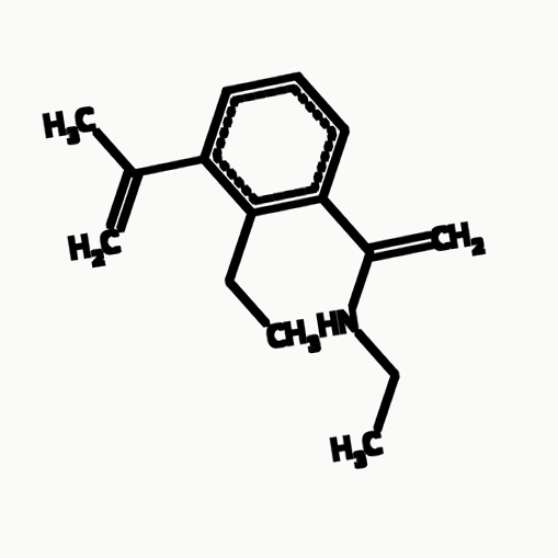 C=C(C)c1cccc(C(=C)NCC)c1CC